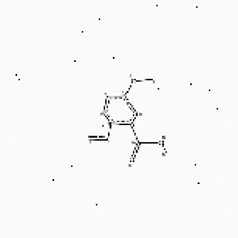 C=Cc1ccc(OC)cc1C(=O)OC